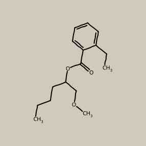 CCCCC(COC)OC(=O)c1ccccc1CC